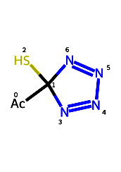 CC(=O)C1(S)N=NN=N1